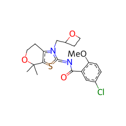 COc1ccc(Cl)cc1C(=O)N=c1sc2c(n1CC1CCO1)CCOC2(C)C